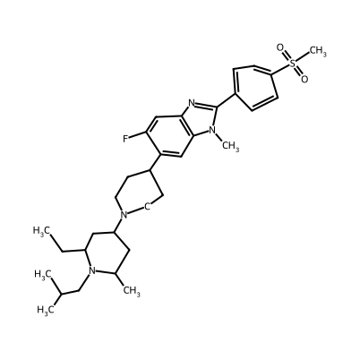 CCC1CC(N2CCC(c3cc4c(cc3F)nc(-c3ccc(S(C)(=O)=O)cc3)n4C)CC2)CC(C)N1CC(C)C